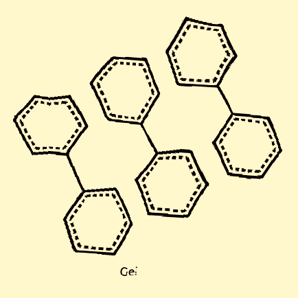 [Ge].c1ccc(-c2ccccc2)cc1.c1ccc(-c2ccccc2)cc1.c1ccc(-c2ccccc2)cc1